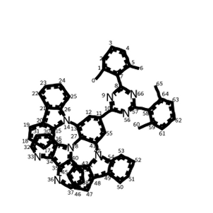 Cc1cccc(C)c1-c1nc(-c2cc(-n3c4ccccc4c4ccccc43)c(-n3c4cccnc4c4ncccc43)c(-n3c4ccccc4c4ccccc43)c2)nc(-c2c(C)cccc2C)n1